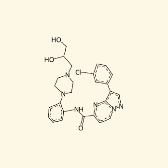 O=C(Nc1ccccc1N1CCN(CC(O)CO)CC1)c1ccn2ncc(-c3cccc(Cl)c3)c2n1